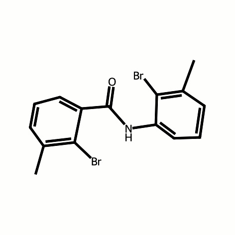 Cc1cccc(NC(=O)c2cccc(C)c2Br)c1Br